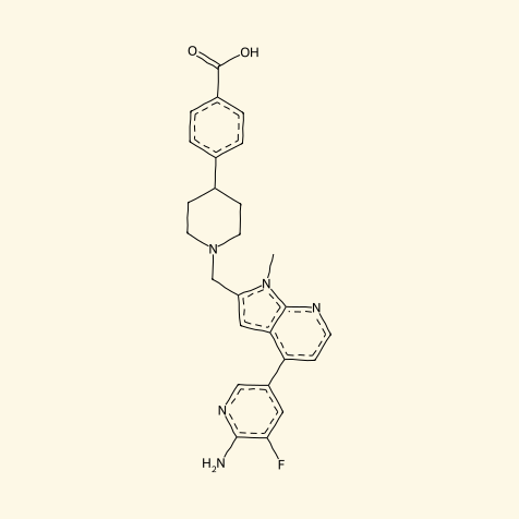 Cn1c(CN2CCC(c3ccc(C(=O)O)cc3)CC2)cc2c(-c3cnc(N)c(F)c3)ccnc21